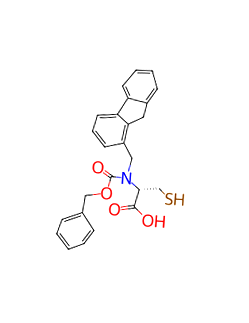 O=C(O)[C@@H](CS)N(Cc1cccc2c1Cc1ccccc1-2)C(=O)OCc1ccccc1